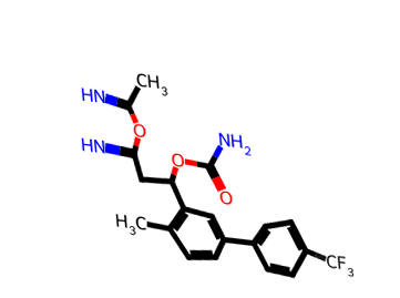 CC(=N)OC(=N)CC(OC(N)=O)c1cc(-c2ccc(C(F)(F)F)cc2)ccc1C